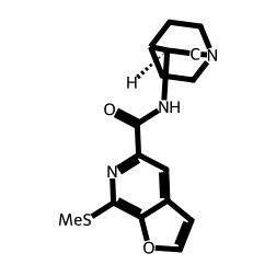 CSc1nc(C(=O)N[C@@H]2CN3CCC2CC3)cc2ccoc12